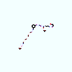 CC(C)(C)OC(=O)NCCOCCOCCOCC(=O)NCc1cccc(C(=O)NCC(=O)N[C@@H](CCCCN2C(=O)C=CC2=O)C(=O)OC(C)(C)C)c1